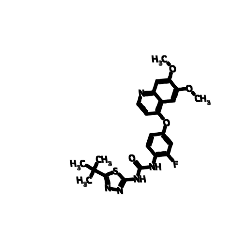 COc1cc2nccc(Oc3ccc(NC(=O)Nc4nnc(C(C)(C)C)s4)c(F)c3)c2cc1OC